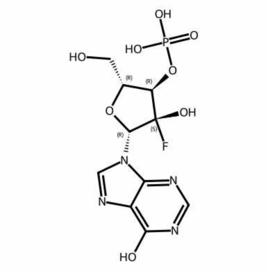 O=P(O)(O)O[C@@H]1[C@@H](CO)O[C@@H](n2cnc3c(O)ncnc32)[C@@]1(O)F